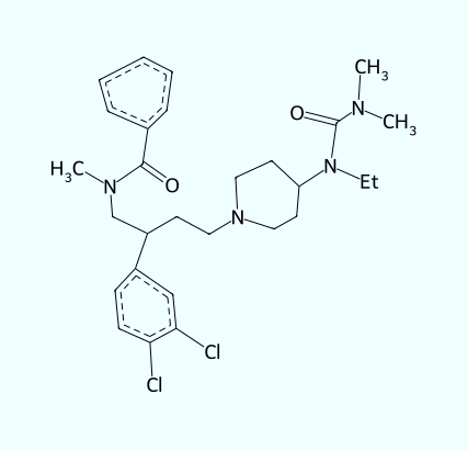 CCN(C(=O)N(C)C)C1CCN(CCC(CN(C)C(=O)c2ccccc2)c2ccc(Cl)c(Cl)c2)CC1